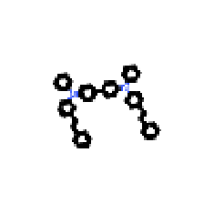 C(=Cc1ccc(N(c2ccccc2)c2ccc(-c3ccc(N(c4ccccc4)c4cccc(C=Cc5ccccc5)c4)cc3)cc2)cc1)c1ccccc1